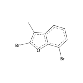 Cc1c(Br)oc2c(Br)cccc12